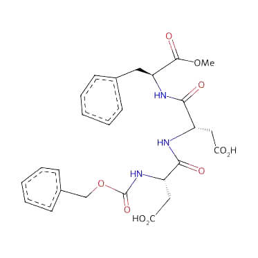 COC(=O)[C@H](Cc1ccccc1)NC(=O)[C@H](CC(=O)O)NC(=O)[C@H](CC(=O)O)NC(=O)OCc1ccccc1